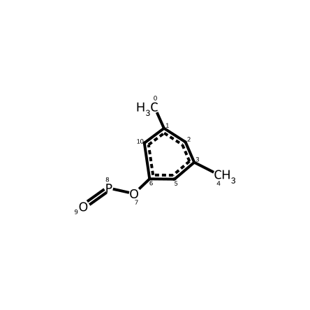 Cc1cc(C)cc(OP=O)c1